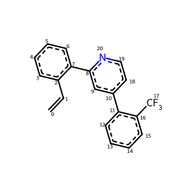 C=Cc1ccccc1-c1cc(-c2ccccc2C(F)(F)F)ccn1